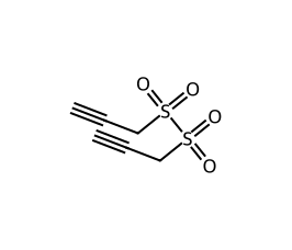 C#CCS(=O)(=O)S(=O)(=O)CC#C